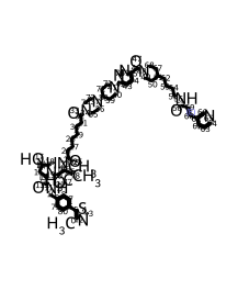 Cc1ncsc1-c1ccc(CNC(=O)[C@@H]2C[C@@H](O)CN2C(=O)[C@@H](NC(=O)CCCCCCC(=O)N2CCN(C3CCN(c4ccc(C(=O)N5CCC(CCCCNC(=O)/C=C/c6cccnc6)CC5)nn4)CC3)CC2)C(C)(C)C)cc1